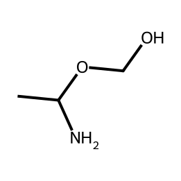 CC(N)OCO